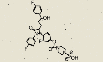 O=C(Oc1ccc([C@@H]2C(CC[C@H](O)c3ccc(F)cc3)C(=O)N2c2ccc(F)cc2)c(F)c1)N1CCN(S(=O)(=O)O)CC1